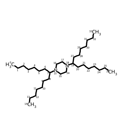 CCCCCCCC(CCCCCCC)N1CCN(C(CCCCCCC)CCCCCCC)CC1